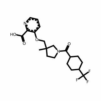 CC1(COc2cccnc2C(=O)O)CCN(C(=O)C2CCC(C(F)(F)F)CC2)C1